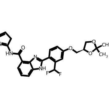 CC1(C)OC[C@H](COc2ccc(-c3nc4c(C(=O)NC5=NC=CC5)cccc4[nH]3)c(C(F)F)c2)O1